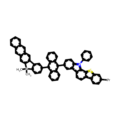 CC(C)c1ccc2c(c1)sc1c2ccc2c3cc(-c4c5ccccc5c(-c5ccc6c(c5)-c5cc7cc8ccccc8cc7cc5[Si]6(C)C)c5ccccc45)ccc3n(-c3ccccc3)c21